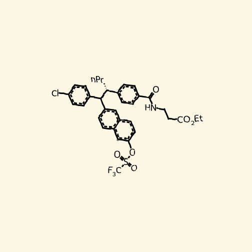 CCC[C@H](c1ccc(C(=O)NCCC(=O)OCC)cc1)C(c1ccc(Cl)cc1)c1ccc2cc(OS(=O)(=O)C(F)(F)F)ccc2c1